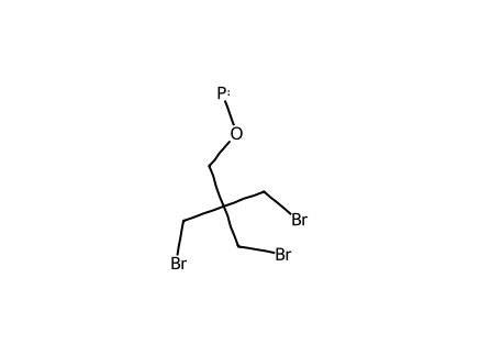 [P]OCC(CBr)(CBr)CBr